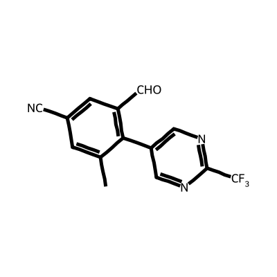 Cc1cc(C#N)cc(C=O)c1-c1cnc(C(F)(F)F)nc1